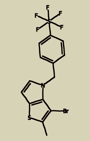 Cc1sc2ccn(Cc3ccc(S(F)(F)(F)(F)F)cc3)c2c1Br